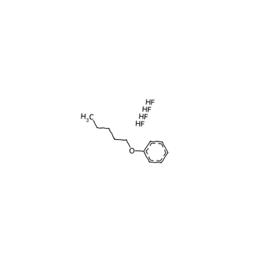 CCCCCOc1ccccc1.F.F.F.F